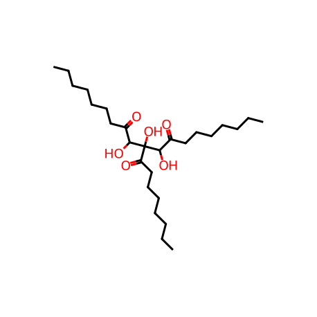 CCCCCCCC(=O)C(O)C(O)(C(=O)CCCCCCC)C(O)C(=O)CCCCCCC